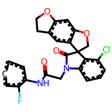 O=C(CN1C(=O)C2(COc3cc4c(cc32)CCO4)c2c(Cl)cccc21)Nc1ccccc1F